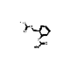 CCCCC(=O)OCc1c[c]ccc1OC(=O)CCCC